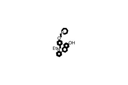 CCN(Cc1ccc(OCCN2CCCCCC2)cc1)c1ccccc1[C@@H]1CCc2cc(O)ccc2C1